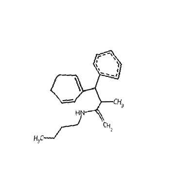 C=C(NCCCC)C(C)C(C1=CCCC=C1)c1ccccc1